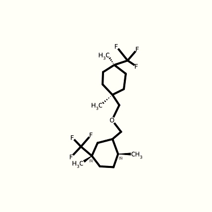 C[C@H]1CC[C@](C)(C(F)(F)F)CC1COC[C@]1(C)CC[C@](C)(C(F)(F)F)CC1